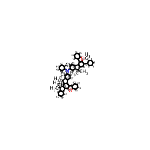 Cc1ccccc1-c1cc2c(c3c1oc1ccccc13)-c1ccc(N(c3ccc4c(c3)C(C)(C)c3c5c(c6oc7ccccc7c6c3-4)-c3ccccc3C5(C)C)c3c(C)cccc3C)cc1C2(C)C